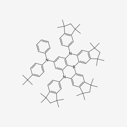 CC(C)(C)c1ccc(N(c2ccccc2)c2cc3c4c(c2)N(c2ccc5c(c2)C(C)(C)CC5(C)C)c2cc5c(cc2B4c2cc4c(cc2N3c2ccc3c(c2)C(C)(C)CC3(C)C)C(C)(C)CC4(C)C)C(C)(C)CC5(C)C)cc1